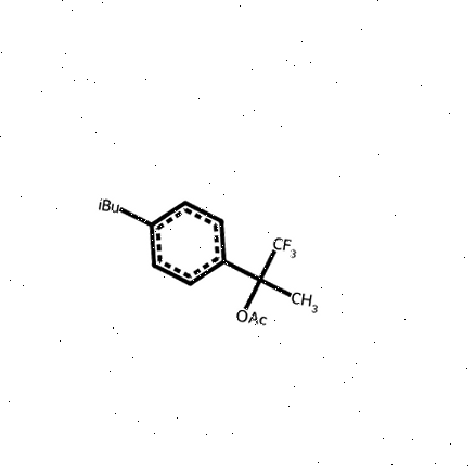 CCC(C)c1ccc(C(C)(OC(C)=O)C(F)(F)F)cc1